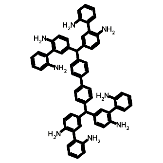 Nc1ccccc1-c1cc(C(c2ccc(-c3ccc(C(c4ccc(N)c(-c5ccccc5N)c4)c4ccc(N)c(-c5ccccc5N)c4)cc3)cc2)c2ccc(N)c(-c3ccccc3N)c2)ccc1N